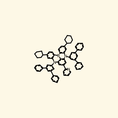 c1ccc(-c2cc(-c3ccccc3)cc(N3c4cc(C5CCCCC5)ccc4B4c5ccc(C6CCCCC6)cc5N(c5cc(-c6ccccc6)cc(-c6ccccc6)c5)c5cc(-c6ccccn6)cc3c54)c2)cc1